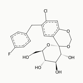 OC[C@H]1O[C@]2(OCOc3cc(Cl)c(Cc4ccc(F)cc4)cc32)[C@H](O)[C@@H](O)[C@@H]1O